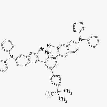 CC(C)(C)c1ccc(-c2cc(-c3cc4ccc(N(c5ccccc5)c5ccccc5)cc4cc3Br)c(N)c(-c3cc4ccc(N(c5ccccc5)c5ccccc5)cc4cc3Br)c2)cc1